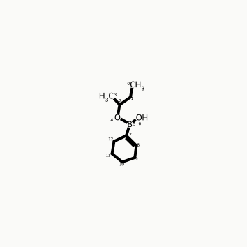 CCC(C)OB(O)C1=CCCCC1